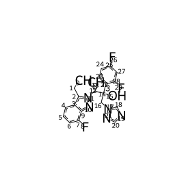 CCc1c2cccc(F)c2nn1[C@H](C)[C@](O)(Cn1cncn1)c1ccc(F)cc1F